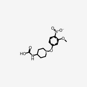 COc1cc(OP2CCC(NC(=O)O)CC2)ccc1[N+](=O)[O-]